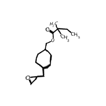 CCC(C)(C)C(=O)OCC1CCC(CC2CO2)CC1